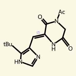 CC(=O)N1CC(=O)N/C(=C\c2nc[nH]c2C(C)(C)C)C1=O